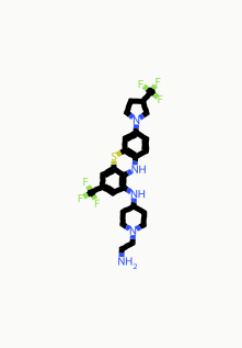 NCCN1CCC(Nc2cc(C(F)(F)F)cc3c2Nc2ccc(N4CCC(C(F)(F)F)C4)cc2S3)CC1